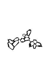 c1cc2ccc3ccc(-c4ccc5c(-c6ccc7ccc8cccc9ccc6c7c89)cc6c7ccccc7oc6c5c4)c4ccc(c1)c2c34